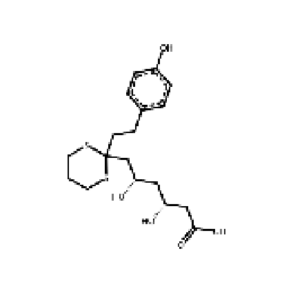 O=C(O)C[C@H](O)C[C@H](O)CC1(CCc2ccc(O)cc2)SCCCS1